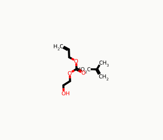 C=C(C)C(=O)O.C=CCOC(=O)OCCO